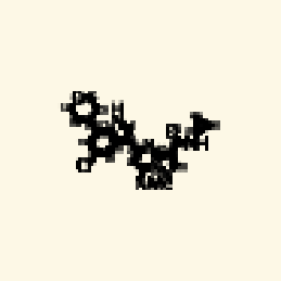 CNc1cc(-c2c[nH]c3c(C4CCOCC4)cc(Cl)cc23)nc2c(C(=O)NC3CC3)cnn12